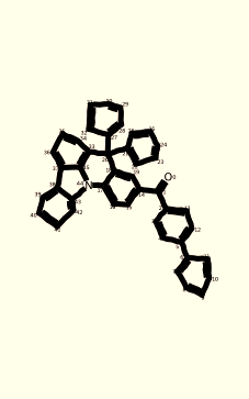 O=C(c1ccc(-c2ccccc2)cc1)c1ccc2c(c1)C(c1ccccc1)(c1ccccc1)c1cccc3c4ccccc4n-2c13